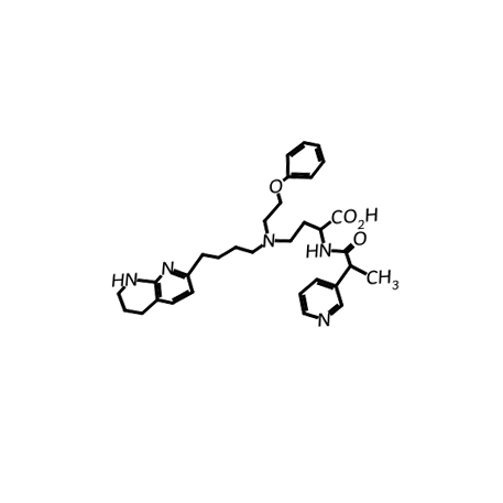 CC(C(=O)NC(CCN(CCCCc1ccc2c(n1)NCCC2)CCOc1ccccc1)C(=O)O)c1cccnc1